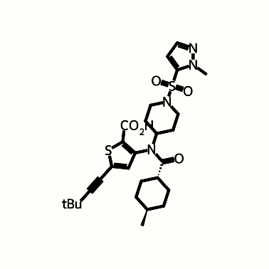 Cn1nccc1S(=O)(=O)N1CCC(N(c2cc(C#CC(C)(C)C)sc2C(=O)O)C(=O)[C@H]2CC[C@H](C)CC2)CC1